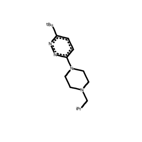 CC(C)CN1CCN(c2ccc(C(C)(C)C)nn2)CC1